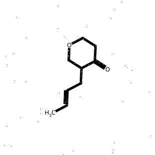 C/C=C/CC1COCCC1=O